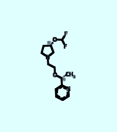 C[C@@H](OCCN1CC[C@H](OC(F)F)C1)c1ccccn1